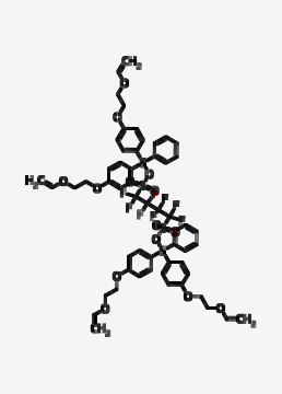 C=COCCOc1ccc(S(OS(=O)(=O)C(F)(F)C(F)(F)C(F)(F)C(F)(F)S(=O)(=O)OS(c2ccccc2)(c2ccc(OCCOC=C)cc2)c2ccc(OCCOC=C)cc2)(c2ccccc2)c2ccc(OCCOC=C)cc2)cc1